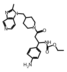 CCOC(=O)NC(CC(=O)N1CCC(Cn2c(C)nc3cnccc32)CC1)c1ccc(N)cc1